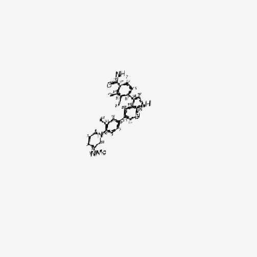 CN[C@H]1CCCN(c2ccc(-c3cnc4[nH]cc(-c5ccc(C(N)=O)c(C)c5C)c4c3)cc2C)C1